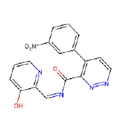 O=C(/N=C\c1ncccc1O)c1nnccc1-c1cccc([N+](=O)[O-])c1